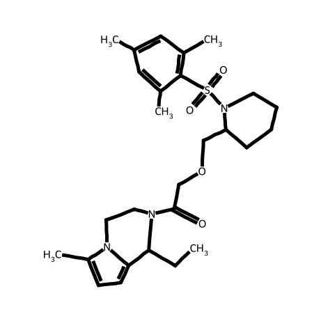 CCC1c2ccc(C)n2CCN1C(=O)COCC1CCCCN1S(=O)(=O)c1c(C)cc(C)cc1C